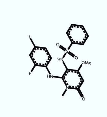 COc1cc(=O)n(C)c(Nc2ccc(I)cc2F)c1NS(=O)(=O)c1ccccc1